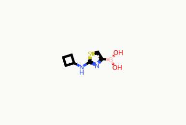 OB(O)c1csc(NC2CCC2)n1